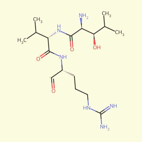 CC(C)[C@H](NC(=O)[C@@H](N)[C@H](O)C(C)C)C(=O)N[C@@H]([C]=O)CCCNC(=N)N